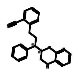 N#Cc1ccccc1CC[C@H](c1ccccc1)[C@@H]1CNc2cccnc2S1